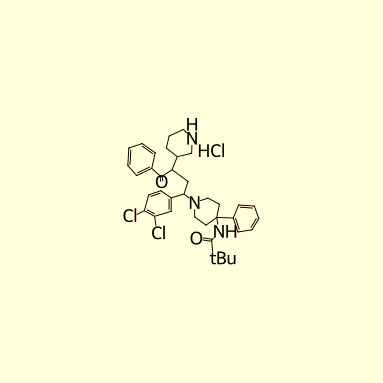 CC(C)(C)C(=O)NC1(c2ccccc2)CCN(C(CC(C(=O)c2ccccc2)C2CCCNC2)c2ccc(Cl)c(Cl)c2)CC1.Cl